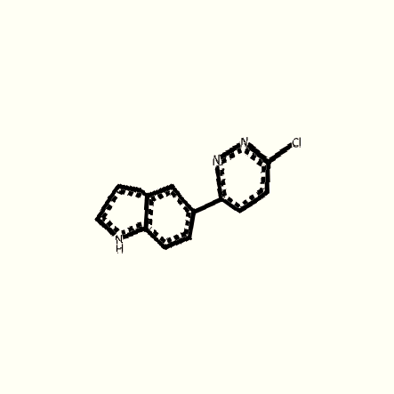 Clc1ccc(-c2ccc3[nH]ccc3c2)nn1